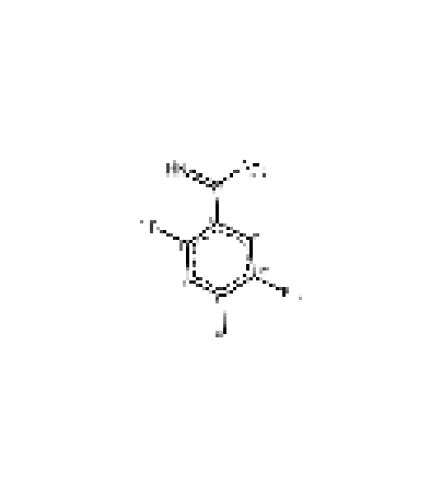 Cc1cc(F)c(C(=N)N)cc1F